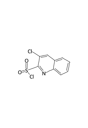 O=S(=O)(Cl)c1nc2ccccc2cc1Cl